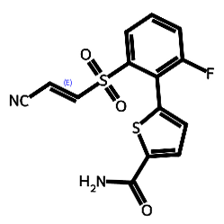 N#C/C=C/S(=O)(=O)c1cccc(F)c1-c1ccc(C(N)=O)s1